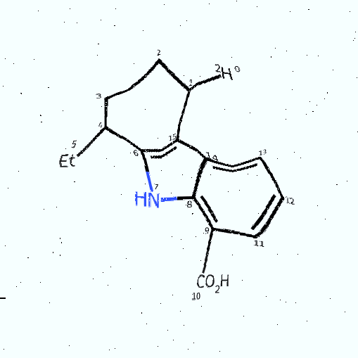 [2H]C1CCC(CC)c2[nH]c3c(C(=O)O)cccc3c21